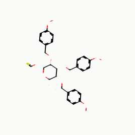 COc1ccc(CO[C@H]2[C@H](OCc3ccc(OC)cc3)[C@@H](OC=S)O[C@@H](C)[C@H]2OCc2ccc(OC)cc2)cc1